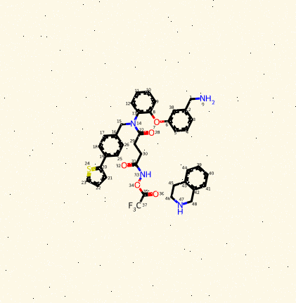 NCc1cccc(Oc2ccccc2N(Cc2ccc(-c3cccs3)cc2)C(=O)CCC(=O)NOC(=O)C(F)(F)F)c1.c1ccc2c(c1)CCNC2